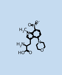 Cn1cc(CC(N)C(=O)O)c2c(N3CCOCC3)ccc([N+](=O)[O-])c21